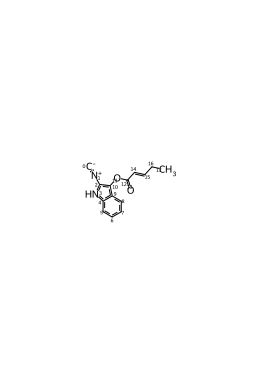 [C-]#[N+]c1[nH]c2ccccc2c1OC(=O)C=CCC